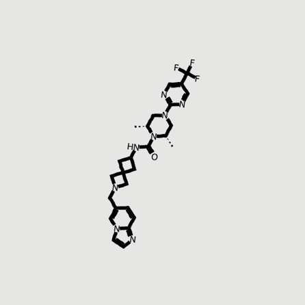 C[C@@H]1CN(c2ncc(C(F)(F)F)cn2)C[C@H](C)N1C(=O)NC1CC2(C1)CN(Cc1ccc3nccn3c1)C2